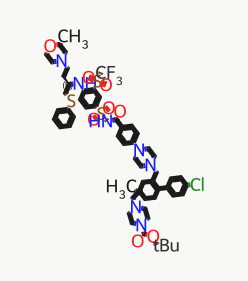 CC1CN(CC[C@H](CSc2ccccc2)Nc2ccc(S(=O)(=O)NC(=O)c3ccc(N4CCN(CC5=C(c6ccc(Cl)cc6)CC[C@@](C)(CN6CCN(C(=O)OC(C)(C)C)CC6)C5)CC4)cc3)cc2S(=O)(=O)C(F)(F)F)CCO1